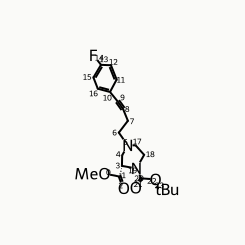 COC(=O)[C@@H]1CN(CCC#Cc2ccc(F)cc2)CCN1C(=O)OC(C)(C)C